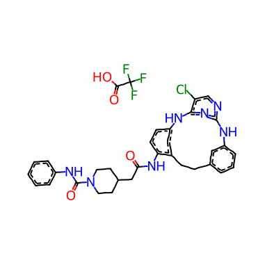 O=C(CC1CCN(C(=O)Nc2ccccc2)CC1)Nc1ccc2cc1CCc1cccc(c1)Nc1ncc(Cl)c(n1)N2.O=C(O)C(F)(F)F